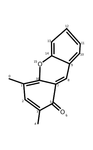 Cc1cc(C)c(=O)c2cc3ccccc3oc1-2